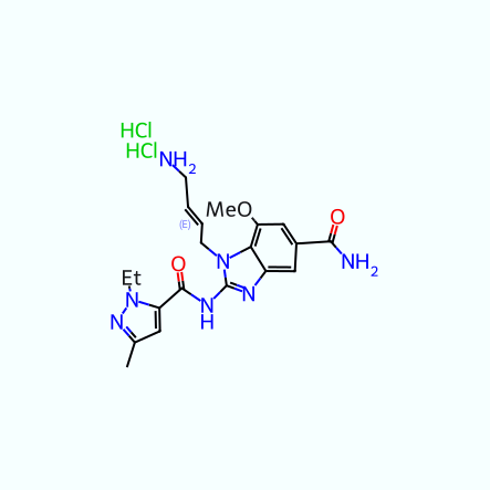 CCn1nc(C)cc1C(=O)Nc1nc2cc(C(N)=O)cc(OC)c2n1C/C=C/CN.Cl.Cl